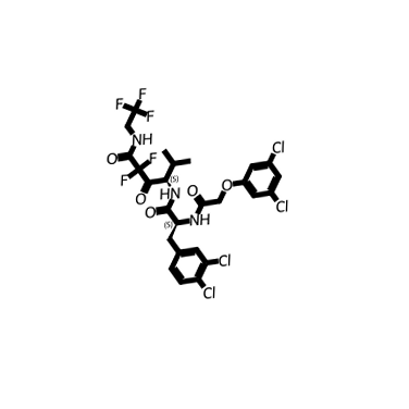 CC(C)[C@H](NC(=O)[C@H](Cc1ccc(Cl)c(Cl)c1)NC(=O)COc1cc(Cl)cc(Cl)c1)C(=O)C(F)(F)C(=O)NCC(F)(F)F